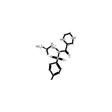 C[C@H](N)C(=O)O.Cc1ccc(S(=O)(=O)N(C(=O)C2CNCCN2)C(C)(C)C)cc1